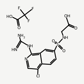 N=C(N)Nc1ncc(Cl)c2ccc(S(=O)(=O)NCC(=O)O)cc12.O=C(O)C(F)(F)F